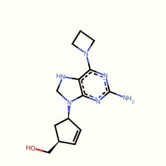 Nc1nc(N2CCC2)c2c(n1)N([C@H]1C=C[C@@H](CO)C1)CN2